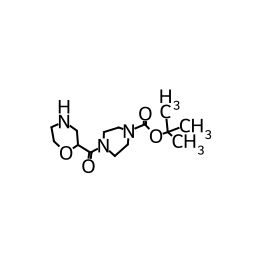 CC(C)(C)OC(=O)N1CCN(C(=O)C2CNCCO2)CC1